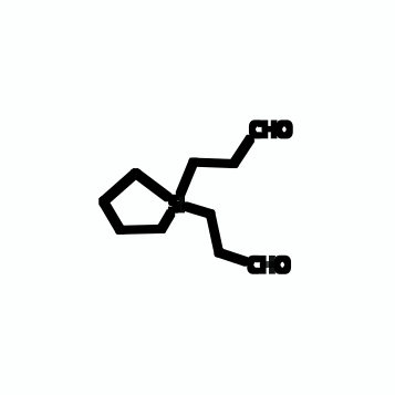 O=CCC[Si]1(CCC=O)CCCC1